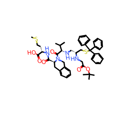 CSCC[C@H](NC(=O)[C@@H]1Cc2ccccc2CN1C(=O)[C@@H](NC[C@H](CSC(c1ccccc1)(c1ccccc1)c1ccccc1)NCC(=O)OC(C)(C)C)C(C)C)C(=O)O